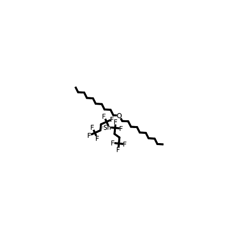 CCCCCCCCCCOCCCCCCCCCC.FC(F)(F)CC[C](F)(F)[Sn][C](F)(F)CCC(F)(F)F